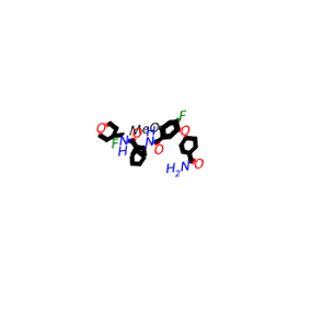 COc1cc(F)c(OC2CCC(C(N)=O)CC2)cc1C(=O)NC1C2CCC(C2)C1C(=O)NCC1(F)CCOCC1